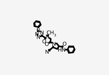 CN(CC(=O)N1CC(C(=O)Nc2ccccc2)CC1C#N)C(=O)c1nnn(-c2ccccc2)n1